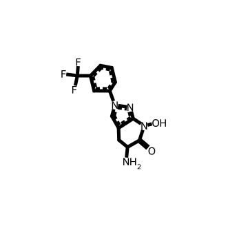 NC1Cc2cn(-c3cccc(C(F)(F)F)c3)nc2N(O)C1=O